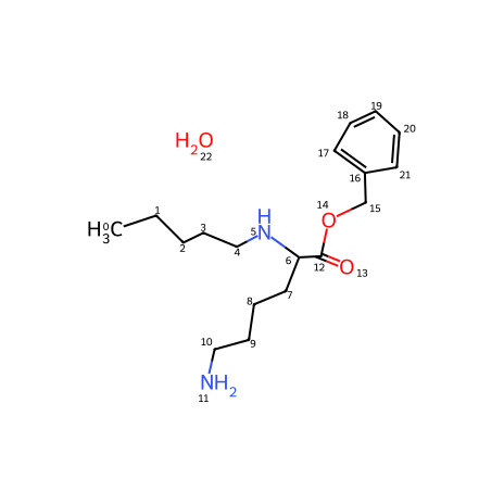 CCCCCNC(CCCCN)C(=O)OCc1ccccc1.O